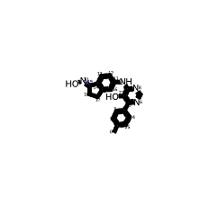 Cc1ccc(-c2ncnc(Nc3ccc4c(c3)CC/C4=N\O)c2O)cc1